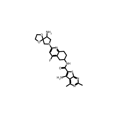 Cc1nc(C)c2c(N)c(C(=O)NC3CCc4nc(N5CC(N)C6(C5)OCCO6)cc(F)c4C3)sc2n1